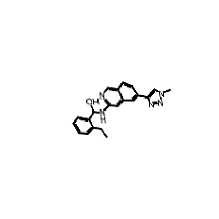 CCc1ccccc1C(O)Nc1cc2cc(-c3cn(C)nn3)ccc2cn1